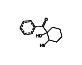 O=C(c1ccccc1)C1(O)CCCCC1S